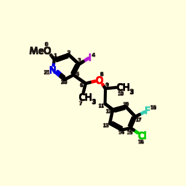 COc1cc(I)c(C(C)OC(C)Cc2ccc(Cl)c(F)c2)cn1